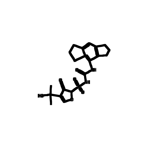 CC(C)(O)C1=COC(S(=O)(=O)NC(=O)Nc2c3c(cc4c2CCC4)CCC3)C1=O